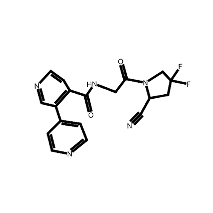 N#CC1CC(F)(F)CN1C(=O)CNC(=O)c1ccncc1-c1ccncc1